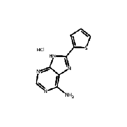 Cl.Nc1ncnc2[nH]c(-c3cccs3)nc12